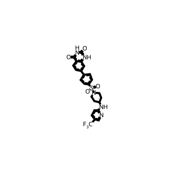 O=c1[nH]c(=O)c2ccc(-c3ccc(S(=O)(=O)N4CCC(Nc5ccc(C(F)(F)F)cn5)CC4)cc3)cc2[nH]1